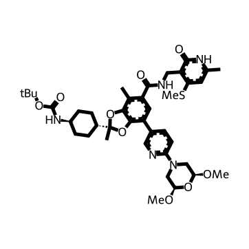 CO[C@H]1CN(c2ccc(-c3cc(C(=O)NCc4c(SC)cc(C)[nH]c4=O)c(C)c4c3OC(C)([C@H]3CC[C@H](NC(=O)OC(C)(C)C)CC3)O4)cn2)C[C@@H](OC)O1